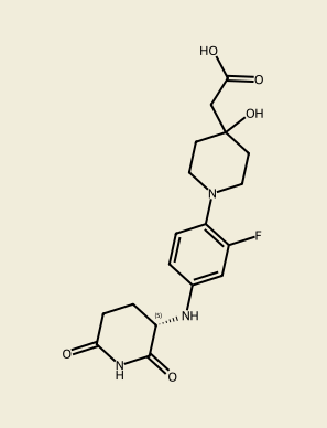 O=C(O)CC1(O)CCN(c2ccc(N[C@H]3CCC(=O)NC3=O)cc2F)CC1